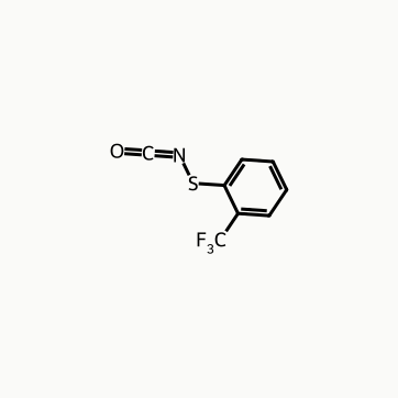 O=C=NSc1ccccc1C(F)(F)F